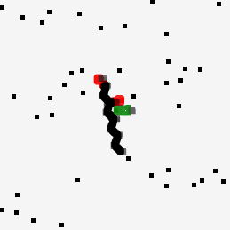 CCCCCCC(=O)CC=O.Cl